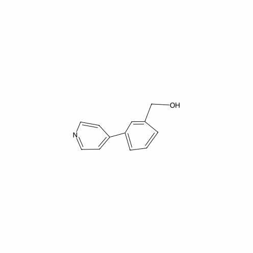 OCc1cccc(-c2ccncc2)c1